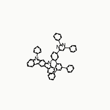 c1ccc(-c2cc(-c3ccccc3)cc(-c3cc(-c4cc(-c5ccccc5)nc(-c5ccccc5)n4)ccc3-n3c4ccccc4c4cc5c6ccccc6n(-c6ccccc6)c5cc43)c2)cc1